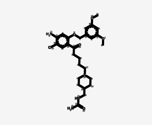 COc1cc(COc2cc(N)c(Cl)cc2C(=O)CCCCN2CCC(CNC(N)=O)CC2)cc(OC)c1